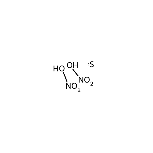 O=[N+]([O-])O.O=[N+]([O-])O.[S]